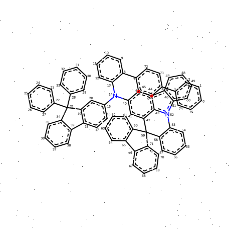 c1ccc(-c2ccc(-c3ccccc3N(c3ccc4c(c3)C(c3ccccc3)(c3ccccc3)c3ccccc3-4)c3cc4c5c(c3)c3ccccc3n5-c3ccccc3C43c4ccccc4-c4ccccc43)cc2)cc1